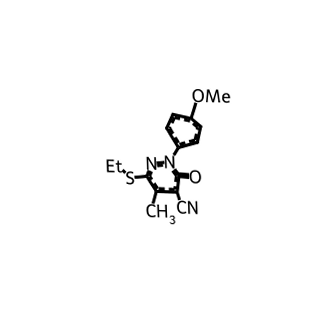 CCSc1nn(-c2ccc(OC)cc2)c(=O)c(C#N)c1C